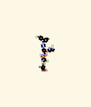 CC1(C)CCC(CN2CCN(c3ccc(C(=O)NS(=O)(=O)c4cnc(OC[C@@H]5C[C@H]6C[C@@H]5C[C@@]6(C)O)c(Cl)c4)c(Oc4cnc5[nH]ccc5c4)c3)CC2)=C(c2ccc(Cl)cc2)C1